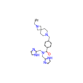 CC(C)CN1CC2(CCN(Cc3ccc(C(=O)N(Cc4ncc[nH]4)Cc4ncc[nH]4)cc3)CC2)C1